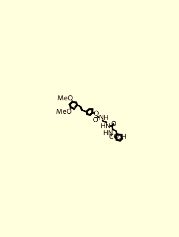 COc1cc(C=Cc2ccc(OC(=O)NCCNC(=O)C(Cc3ccccc3)NC(=O)O)cc2)cc(OC)c1